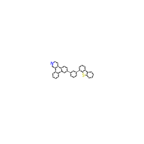 c1cc(-c2ccc3c4ccncc4c4ccccc4c3c2)cc(-c2cccc3c2sc2ccccc23)c1